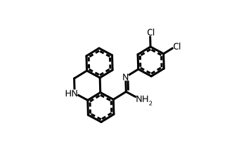 NC(=Nc1ccc(Cl)c(Cl)c1)c1cccc2c1-c1ccccc1CN2